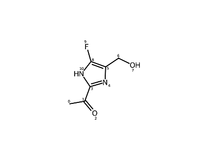 CC(=O)c1nc(CO)c(F)[nH]1